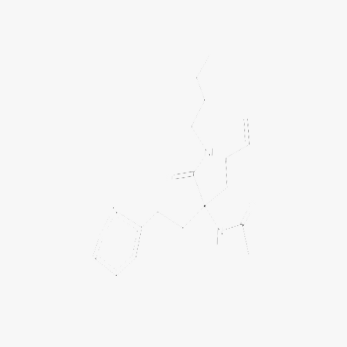 C=CCCC(CCc1ccccn1)(NC(C)=O)C(=O)NCCCC